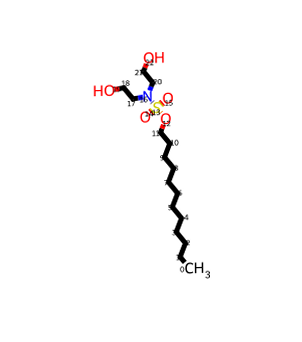 CCCCCCCCCCCCOS(=O)(=O)N(CCO)CCO